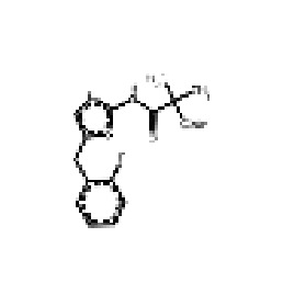 COC(C)(C)C(=O)Nc1ncc(Cc2ccccc2F)s1